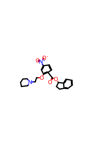 O=C(OC1CCc2ccccc21)c1ccc([N+](=O)[O-])cc1OCCN1CCCCC1